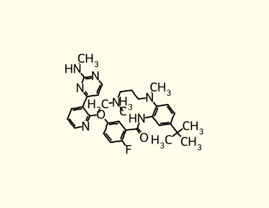 CNc1nccc(-c2cccnc2Oc2ccc(F)c(C(=O)Nc3cc(C(C)(C)C)ccc3N(C)CCCN(C)C)c2)n1